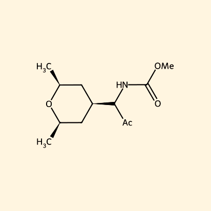 COC(=O)NC(C(C)=O)[C@H]1C[C@@H](C)O[C@@H](C)C1